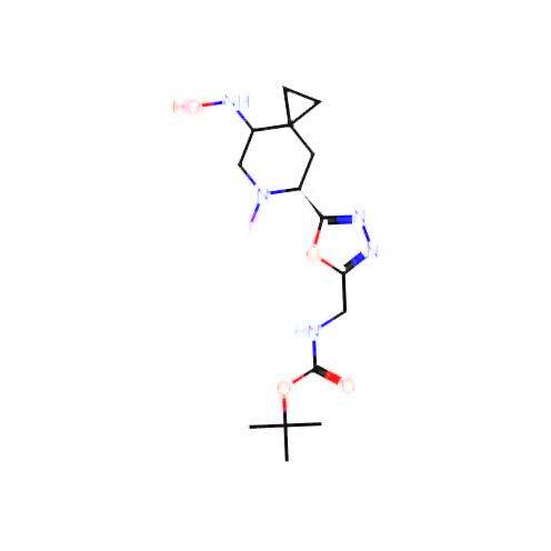 CC(C)(C)OC(=O)NCc1nnc([C@@H]2CC3(CC3)C(NO)CN2I)o1